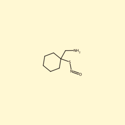 NCC1(SN=O)CCCCC1